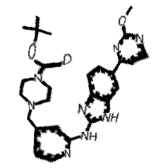 COc1nccc(-c2ccc3nc(Nc4cc(CN5CCN(C(=O)OC(C)(C)C)CC5)ccn4)[nH]c3c2)n1